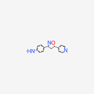 [NH]c1ccc(C2=NOC(c3ccncc3)C2)cc1